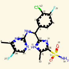 Cc1nc(NC(c2ccc(F)c(Cl)c2)c2nc(S(N)(=O)=O)c(C)[nH]2)ncc1F